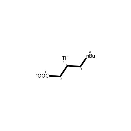 CCCCCCCC(=O)[O-].[Tl+]